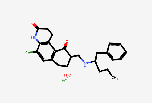 CCCC(Cc1ccccc1)NCC1CCc2cc(Cl)c3c(c2C1=O)CCC(=O)N3.Cl.O